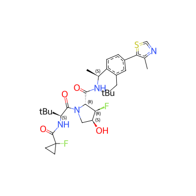 Cc1ncsc1-c1ccc([C@H](C)NC(=O)[C@@H]2[C@@H](F)[C@@H](O)CN2C(=O)[C@@H](NC(=O)C2(F)CC2)C(C)(C)C)c(CC(C)(C)C)c1